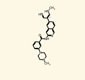 CN/C=C(\C=N)c1ccc2cnc(NC(=O)c3cccc(N4CCN(C)CC4)c3)cc2c1